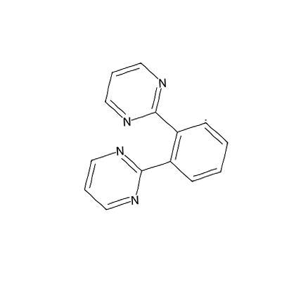 [c]1cccc(-c2ncccn2)c1-c1ncccn1